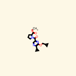 COC(=O)C1CCCN1C(=O)c1cnc(C2CC2)c(OCC2CC2)n1